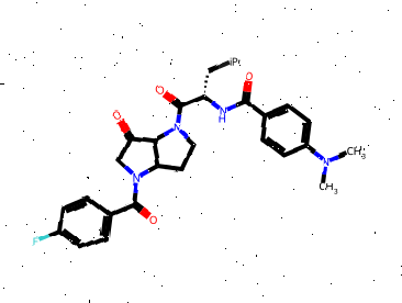 CC(C)C[C@H](NC(=O)c1ccc(N(C)C)cc1)C(=O)N1CCC2C1C(=O)CN2C(=O)c1ccc(F)cc1